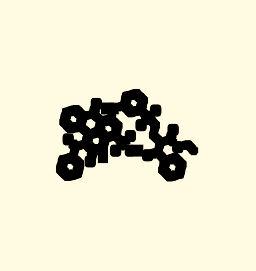 CCOC(=O)C(CCS(=O)(=O)c1cccc(Nc2cc(S(=O)(=O)O)c3[nH]c(=O)c(C(=O)c4ccccc4)c4c3c2C(=O)c2ccccc2-4)c1)C(=O)c1ccccc1